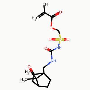 C=C(C)C(=O)OCS(=O)(=O)NC(=O)NCC12CCC(CC1=O)C2(C)C